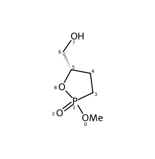 COP1(=O)CC[C@@H](CO)O1